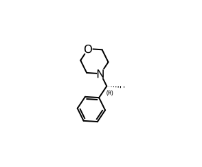 [CH2][C@H](c1ccccc1)N1CCOCC1